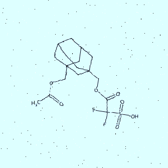 CC(=O)OCC12CC3CC(C1)CC(COC(=O)C(F)(F)S(=O)(=O)O)(C3)C2